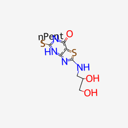 CCCCCSc1nc(=O)c2sc(NCC(O)CO)nc2[nH]1